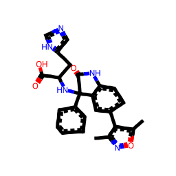 Cc1noc(C)c1-c1ccc2c(c1)C(NC(Cc1cnc[nH]1)C(=O)O)(c1ccccc1)C(=O)N2